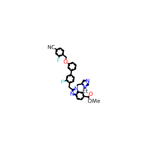 CCn1cncc1Cn1c(Cc2ccc(-c3cccc(OCc4ccc(C#N)cc4F)c3)cc2F)nc2ccc(C(=O)OC)cc21